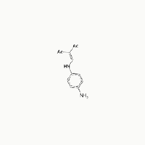 CC(=O)C(=CNc1ccc(N)cc1)C(C)=O